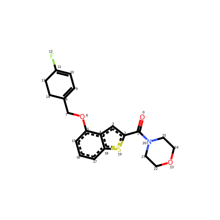 O=C(c1cc2c(OCC3=CC=C(F)CC3)cccc2s1)N1CCOCC1